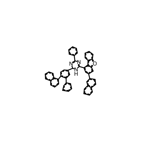 c1ccc(C2=NC(c3ccc(-c4cccc5ccccc45)c(-c4ccccc4)c3)NC(c3cc(-c4ccc5ccccc5c4)cc4oc5ccccc5c34)=N2)cc1